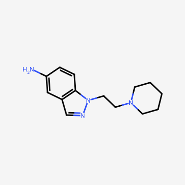 Nc1ccc2c(cnn2CCN2CCCCC2)c1